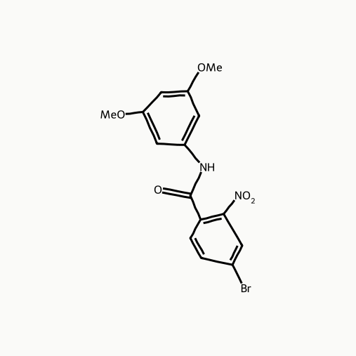 COc1cc(NC(=O)c2ccc(Br)cc2[N+](=O)[O-])cc(OC)c1